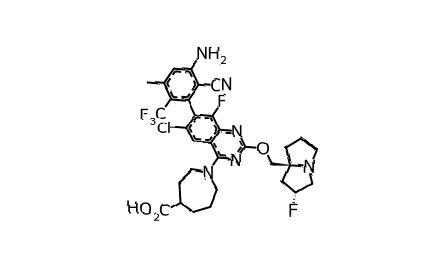 Cc1cc(N)c(C#N)c(-c2c(Cl)cc3c(N4CCCC(C(=O)O)CC4)nc(OC[C@@]45CCCN4C[C@H](F)C5)nc3c2F)c1C(F)(F)F